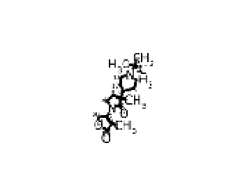 CC1=C(N2CCC(C)(C3CCN(C(C)(C)C)CC3)C2=O)COC1=O